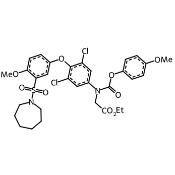 CCOC(=O)CN(C(=O)Oc1ccc(OC)cc1)c1cc(Cl)c(Oc2ccc(OC)c(S(=O)(=O)N3CCCCCC3)c2)c(Cl)c1